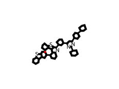 c1ccc(-c2ccc(-c3cc(-c4cccc(-c5nc6cccc(-c7ccc8sc9ccccc9c8c7)c6c6c5sc5ccccc56)c4)nc(-c4ccccc4)n3)cc2)cc1